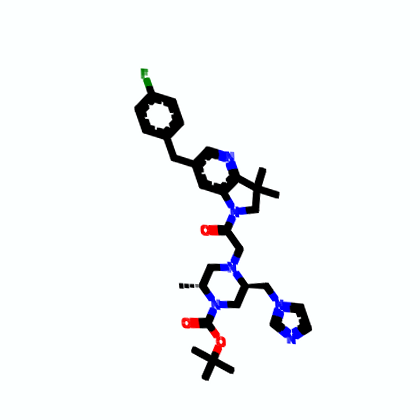 C[C@@H]1CN(CC(=O)N2CC(C)(C)c3ncc(Cc4ccc(F)cc4)cc32)[C@@H](Cn2ccnc2)CN1C(=O)OC(C)(C)C